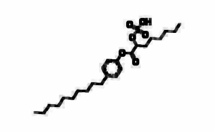 CCCCCCCCCCc1ccc(OC(=O)C(CCCCCC)OS(=O)(=O)O)cc1